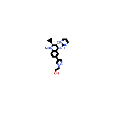 CC(=O)N1c2ccc(-c3cnn(CCO)c3)cc2[C@H](Nc2ncccn2)[C@@H](C)[C@@H]1C1CC1